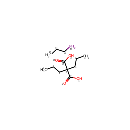 CCCC(CCC)(C(=O)O)C(=O)O.CCCP